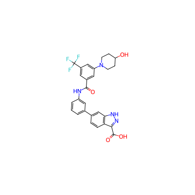 O=C(Nc1cccc(-c2ccc3c(C(=O)O)n[nH]c3c2)c1)c1cc(N2CCC(O)CC2)cc(C(F)(F)F)c1